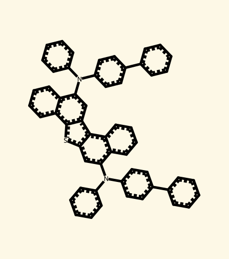 c1ccc(-c2ccc(N(c3ccccc3)c3cc4c(sc5cc(N(c6ccccc6)c6ccc(-c7ccccc7)cc6)c6ccccc6c54)c4ccccc34)cc2)cc1